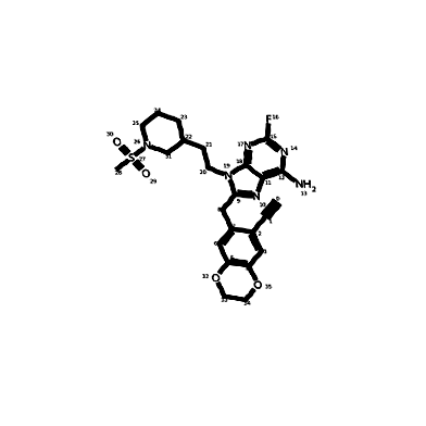 C#Cc1cc2c(cc1Cc1nc3c(N)nc(F)nc3n1CCC1CCCN(S(C)(=O)=O)C1)OCCO2